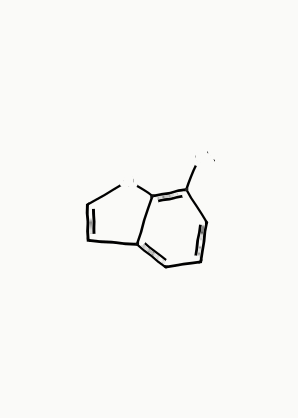 N#Cc1cccc2[c]coc12